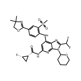 CC1(C)COC(c2ccc(Nc3cc(NC(=O)[C@@H]4C[C@@H]4F)nc4c3nc(C(F)F)n4C3CCCCO3)c(S(C)(=O)=O)c2)=N1